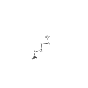 CC(C)COCCBr